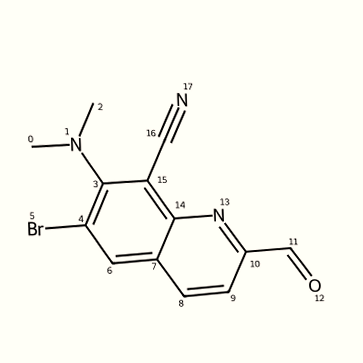 CN(C)c1c(Br)cc2ccc(C=O)nc2c1C#N